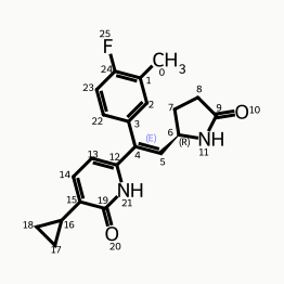 Cc1cc(/C(=C\[C@H]2CCC(=O)N2)c2ccc(C3CC3)c(=O)[nH]2)ccc1F